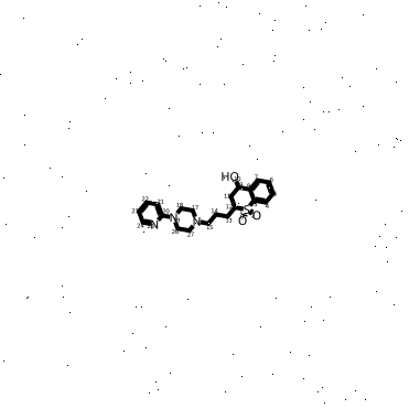 O=S1(=O)c2ccccc2C(O)CC1CCCN1CCN(c2ccccn2)CC1